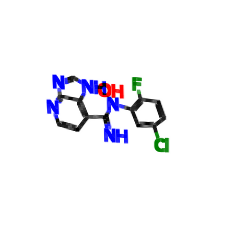 N=C(c1ccnc2nc[nH]c12)N(O)c1cc(Cl)ccc1F